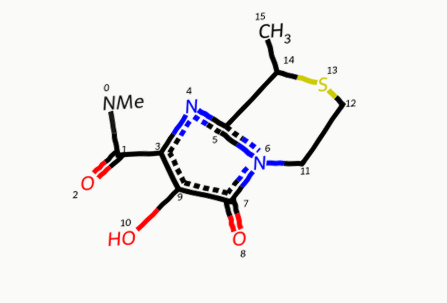 CNC(=O)c1nc2n(c(=O)c1O)CCSC2C